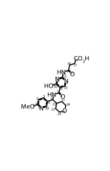 COc1ccc(C(NC(=O)c2cnc(NC(=O)CCC(=O)O)nc2O)C2CCOCC2)cn1